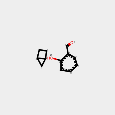 C1CC2CC12.O=Cc1ccccc1O